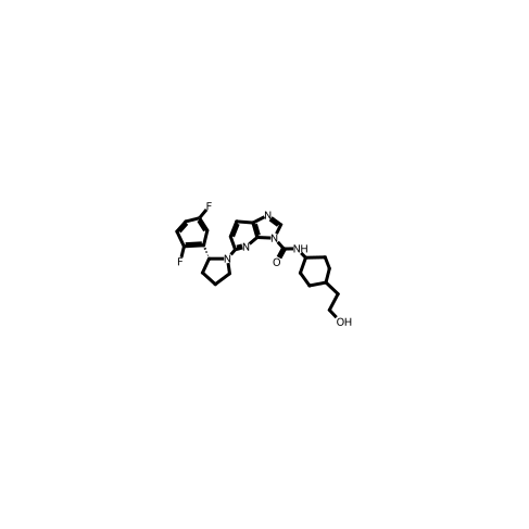 O=C(NC1CCC(CCO)CC1)n1cnc2ccc(N3CCC[C@@H]3c3cc(F)ccc3F)nc21